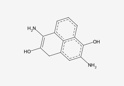 NC1=C(O)Cc2cc(N)c(O)c3cccc1c23